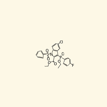 CCOC(=O)c1c(P(=O)(OCC)c2ccc(F)cc2)c2cc(Cl)ccc2n1S(=O)(=O)c1ccccc1